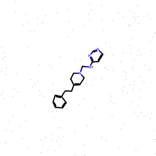 C1=C(CCc2ccccc2)CCN(CNc2ccncn2)C1